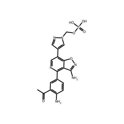 CC(=O)c1cc(-c2ncc(-c3cnn(COP(=O)(O)O)c3)c3onc(N)c23)ccc1N